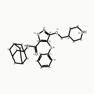 O=C(NC12CC3CC(CC(C3)C1)C2)c1onc(OCC2CCNCC2)c1Sc1ccccc1